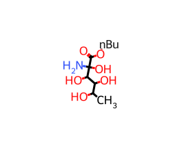 CCCCOC(=O)C(N)(O)C(O)C(O)C(C)O